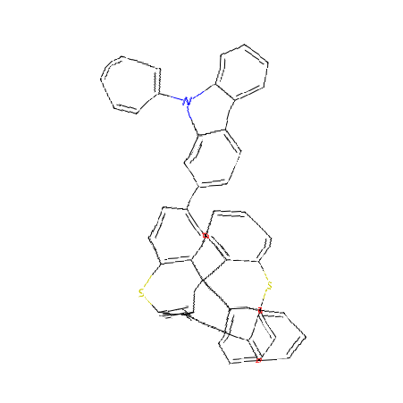 c1ccc(-c2cccc3c2C2(c4ccccc4Sc4ccccc42)c2cc(-c4ccc5c6ccccc6n(-c6ccccc6)c5c4)ccc2S3)cc1